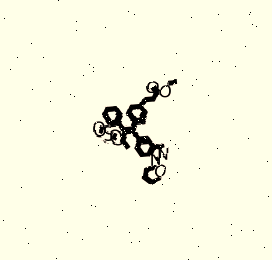 CCOC(=O)/C=C/c1ccc(/C(=C(/CC)c2ccccc2S(C)(=O)=O)c2ccc3c(cnn3C3CCCCO3)c2)cc1